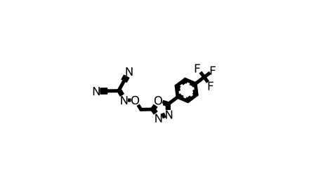 N#CC(C#N)=NOCc1nnc(-c2ccc(C(F)(F)F)cc2)o1